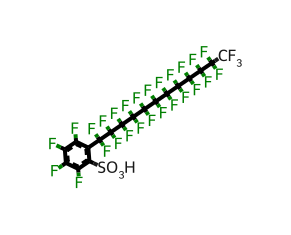 O=S(=O)(O)c1c(F)c(F)c(F)c(F)c1C(F)(F)C(F)(F)C(F)(F)C(F)(F)C(F)(F)C(F)(F)C(F)(F)C(F)(F)C(F)(F)C(F)(F)C(F)(F)C(F)(F)F